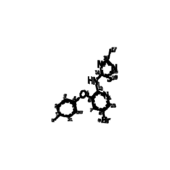 Cc1ccc(Oc2cc(Br)cnc2Nc2nc(C)ns2)cc1